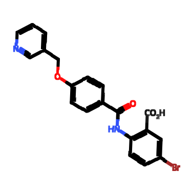 O=C(Nc1ccc(Br)cc1C(=O)O)c1ccc(OCc2cccnc2)cc1